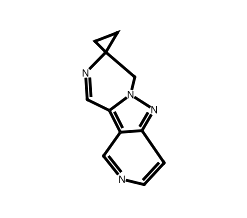 C1=NC2(CC2)Cn2nc3ccncc3c21